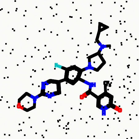 CN(CC1CC1)C1CCN(c2cc(F)c(-c3cnc(N4CCOCC4)nc3)cc2NC(=O)c2c[nH]c(=O)cc2C(F)(F)F)C1